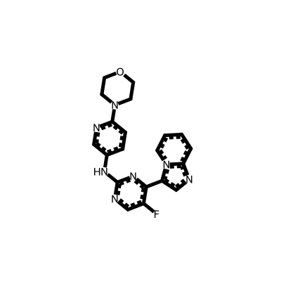 Fc1cnc(Nc2ccc(N3CCOCC3)nc2)nc1-c1cnc2ccccn12